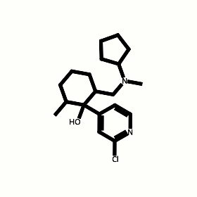 CC1CCCC(CN(C)C2CCCC2)C1(O)c1ccnc(Cl)c1